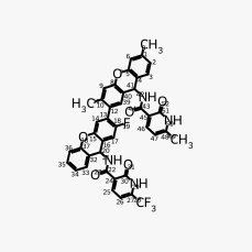 Cc1ccc2c(c1)Oc1cc(C)c(-c3cc4c(cc3F)C(NC(=O)c3ccc(C(F)(F)F)[nH]c3=O)c3ccccc3O4)cc1C2NC(=O)c1ccc(C)[nH]c1=O